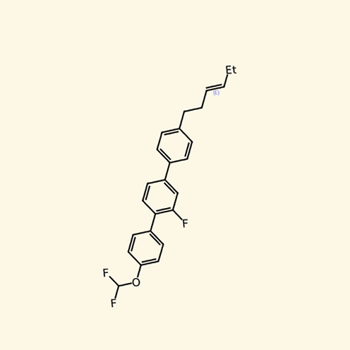 CC/C=C/CCc1ccc(-c2ccc(-c3ccc(OC(F)F)cc3)c(F)c2)cc1